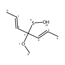 CC=CC(C=CC)(OC)SO